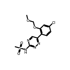 COCOc1cc(Cl)ccc1-c1cnc(NS(C)(=O)=O)nn1